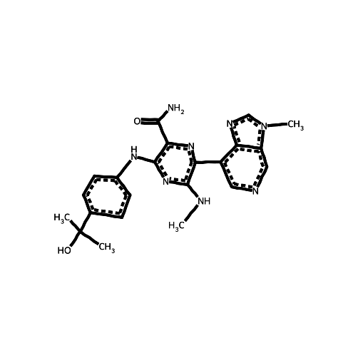 CNc1nc(Nc2ccc(C(C)(C)O)cc2)c(C(N)=O)nc1-c1cncc2c1ncn2C